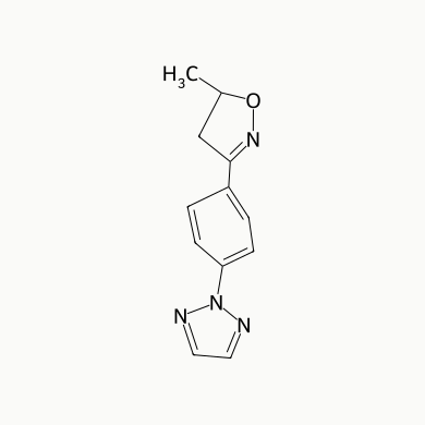 CC1CC(c2ccc(-n3nccn3)cc2)=NO1